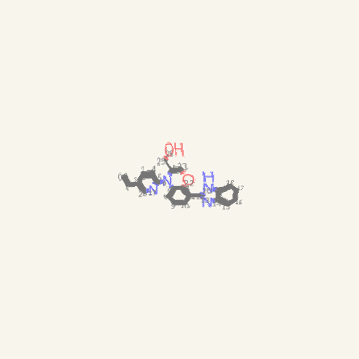 C=Cc1ccc(N2c3cccc(-c4nc5ccccc5[nH]4)c3OC[C@@H]2CO)nc1